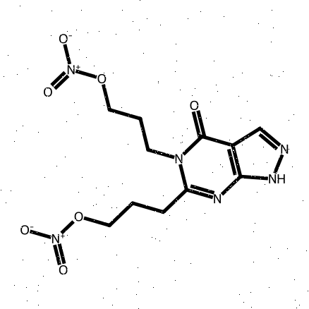 O=c1c2cn[nH]c2nc(CCCO[N+](=O)[O-])n1CCCO[N+](=O)[O-]